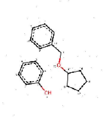 Oc1ccccc1.c1ccc(COC2CCCC2)cc1